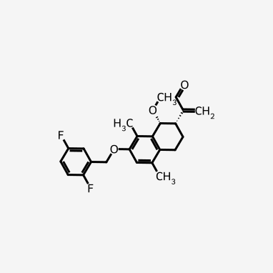 C=C(C=O)[C@@H]1CCc2c(C)cc(OCc3cc(F)ccc3F)c(C)c2[C@@H]1OC